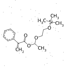 C=C(C(=O)OC(C)OCCO[Si](C)(C)C)c1ccccc1